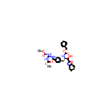 CC(C)(C)OC(=O)NC(NCc1ccc(C[C@H](NC(=O)OCc2ccccc2)C(O)c2nc3ccccc3o2)cc1)NC(=O)OC(C)(C)C